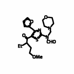 CCC(CCOC)C(=O)c1sc(N(C=O)CN2CCOCC2)nc1-c1ccco1